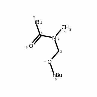 CCCCOCN(C)C(=O)C(C)CC